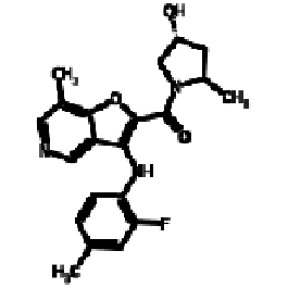 Cc1ccc(Nc2c(C(=O)N3C[C@H](O)CC3C)oc3c(C)cncc23)c(F)c1